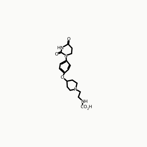 O=C(O)NCCN1CCC(Oc2ccc(N3CCC(=O)NC3=O)cc2)CC1